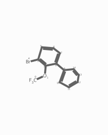 FC(F)(F)Oc1c(Br)cccc1-c1ccccc1